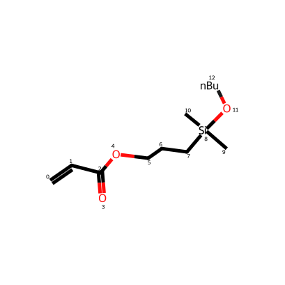 C=CC(=O)OCCC[Si](C)(C)OCCCC